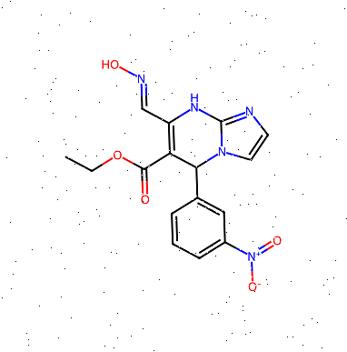 CCOC(=O)C1=C(C=NO)Nc2nccn2C1c1cccc([N+](=O)[O-])c1